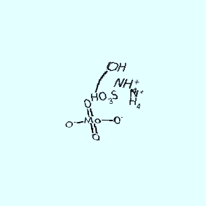 O=S(=O)(O)O.[NH4+].[NH4+].[O]=[Mo](=[O])([O-])[O-]